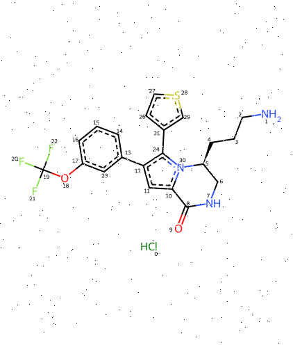 Cl.NCCC[C@H]1CNC(=O)c2cc(-c3cccc(OC(F)(F)F)c3)c(-c3ccsc3)n21